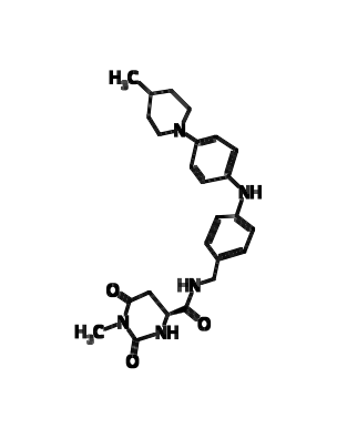 CC1CCN(c2ccc(Nc3ccc(CNC(=O)[C@@H]4CC(=O)N(C)C(=O)N4)cc3)cc2)CC1